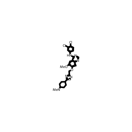 CNC1CCC(c2nc(COc3cc4ncnc(Nc5ccc(Cl)c(Cl)c5)c4cc3OC)no2)CC1